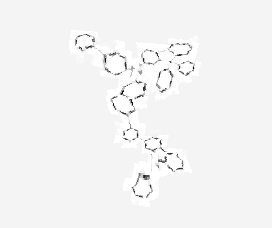 c1ccc(-c2ccc(N(c3ccc4c(c3)C(c3ccccc3)(c3ccccc3)c3ccccc3-4)c3ccc4cc(-c5cccc(-c6ccc7c8ccccc8n(-c8ccccc8)c7c6)c5)ccc4c3)cc2)cc1